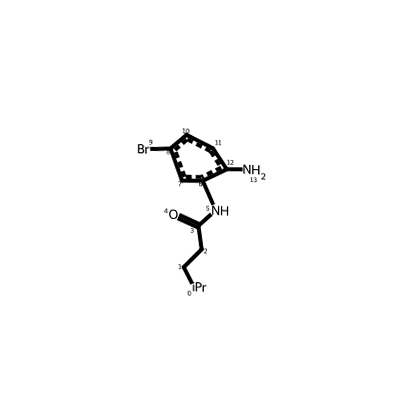 CC(C)CCC(=O)Nc1cc(Br)ccc1N